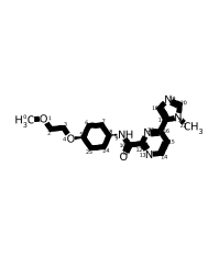 COCCO[C@H]1CC[C@H](NC(=O)c2nccc(-c3cncn3C)n2)CC1